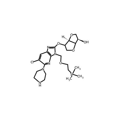 C[Si](C)(C)CCOCn1c(OC2COC3[C@@H]2OC[C@H]3O)nc2cc(Cl)c(N3CCNCC3)nc21